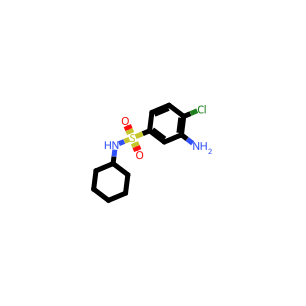 Nc1cc(S(=O)(=O)NC2CCCCC2)ccc1Cl